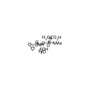 CNCCN(CCN(C)C(=O)O)C(=O)CCOCCNC(=O)OCC1c2ccccc2-c2ccccc21.O=C(O)C(F)(F)F